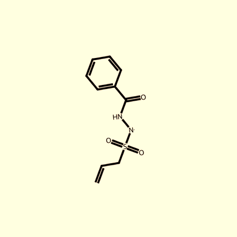 C=CCS(=O)(=O)[N]NC(=O)c1ccccc1